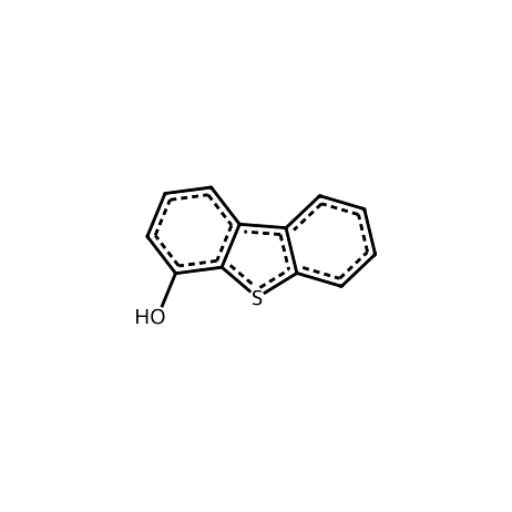 Oc1cccc2c1sc1ccccc12